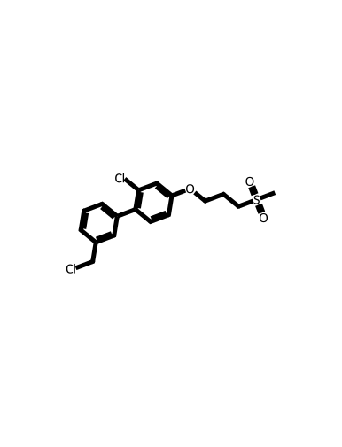 CS(=O)(=O)CCCOc1ccc(-c2cccc(CCl)c2)c(Cl)c1